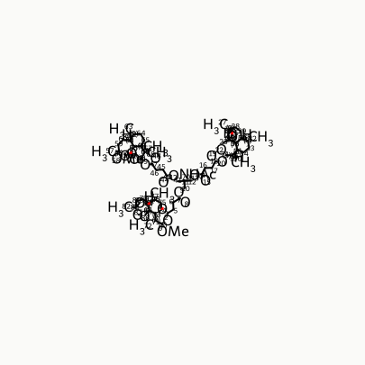 CO[C@@H](OC(=O)CCC(=O)OCC(COC(=O)CCC(=O)O[C@@H]1OC[C@@H]2O[C@@]3(C)CC[C@H]4[C@H](C)CC[C@@H]([C@H]1C)[C@@]24OO3)(COC(=O)CCC(=O)O[C@@H]1OC[C@@]23OO[C@@](C)(OC)CC[C@H]2[C@H](C)CC[C@@]3(C)[C@H]1C)NC(C)=O)[C@H](C)[C@@H]1CC[C@@H](C)[C@@H]2CC[C@]3(C)OC[C@]12OO3